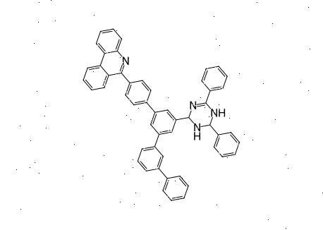 c1ccc(C2=NC(c3cc(-c4ccc(-c5nc6ccccc6c6ccccc56)cc4)cc(-c4cccc(-c5ccccc5)c4)c3)NC(c3ccccc3)N2)cc1